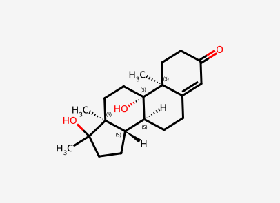 CC1(O)CC[C@H]2[C@@H]3CCC4=CC(=O)CC[C@]4(C)[C@]3(O)CC[C@@]21C